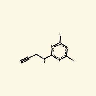 C#CCNc1nc(Cl)nc(Cl)n1